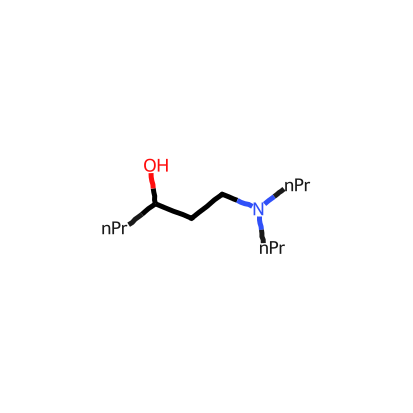 CCCC(O)CCN(CCC)CCC